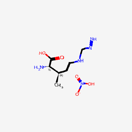 C[C@H](CCNCN=N)[C@H](N)C(=O)O.O=[N+]([O-])O